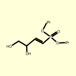 CC(C)OP(=O)(/C=C/C(O)CO)OC(C)C